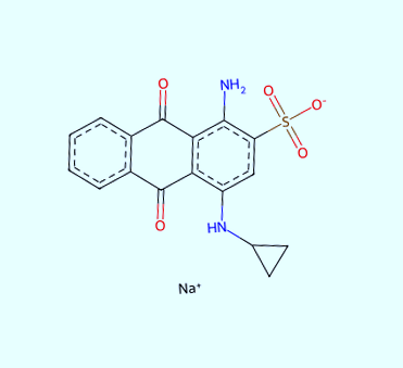 Nc1c(S(=O)(=O)[O-])cc(NC2CC2)c2c1C(=O)c1ccccc1C2=O.[Na+]